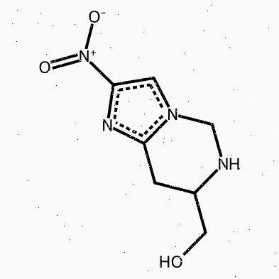 O=[N+]([O-])c1cn2c(n1)CC(CO)NC2